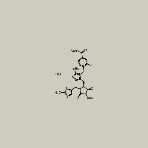 CCCCc1ncc(/C=C2/C(=O)N(CCCC)C(=O)N2Cc2csc(C)n2)n1Cc1ccc(C(=O)OC)cc1Cl.Cl